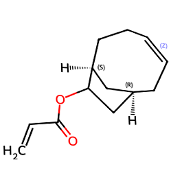 C=CC(=O)OC1C[C@@H]2C/C=C\CC[C@H]1C2